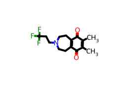 CC1=C(C)C(=O)C2=C(CCN(CCC(F)(F)F)CC2)C1=O